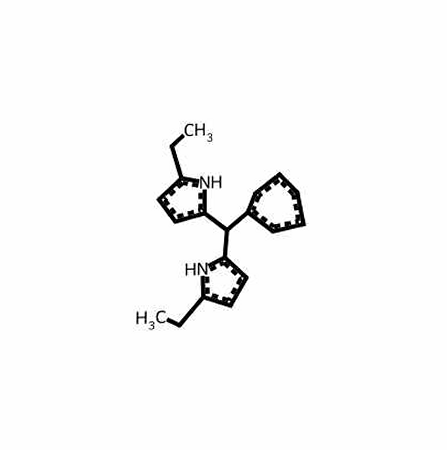 CCc1ccc(C(c2ccccc2)c2ccc(CC)[nH]2)[nH]1